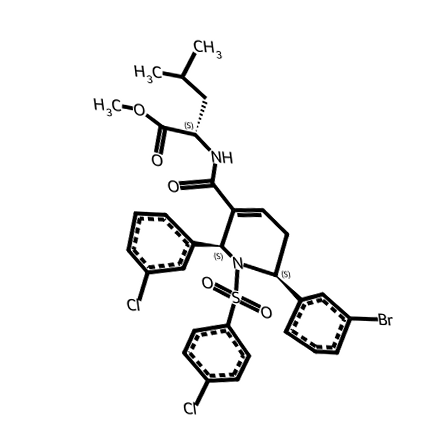 COC(=O)[C@H](CC(C)C)NC(=O)C1=CC[C@@H](c2cccc(Br)c2)N(S(=O)(=O)c2ccc(Cl)cc2)[C@H]1c1cccc(Cl)c1